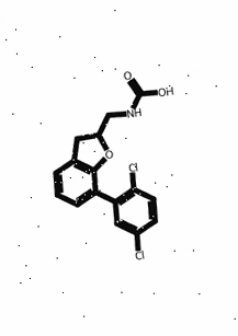 O=C(O)NCC1Cc2cccc(-c3cc(Cl)ccc3Cl)c2O1